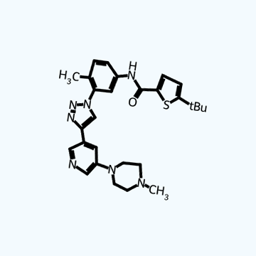 Cc1ccc(NC(=O)c2ccc(C(C)(C)C)s2)cc1-n1cc(-c2cncc(N3CCN(C)CC3)c2)nn1